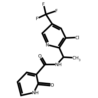 CC(NC(=O)c1ccc[nH]c1=O)c1ncc(C(F)(F)F)cc1Cl